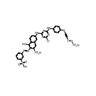 CCCS(=O)(=O)c1cccc(N=Nc2c(S(=O)(=O)O)cc3cc(Nc4nc(Cl)nc(Nc5ccc(SC#COOS(=O)(=O)O)cc5)n4)ccc3c2O)c1